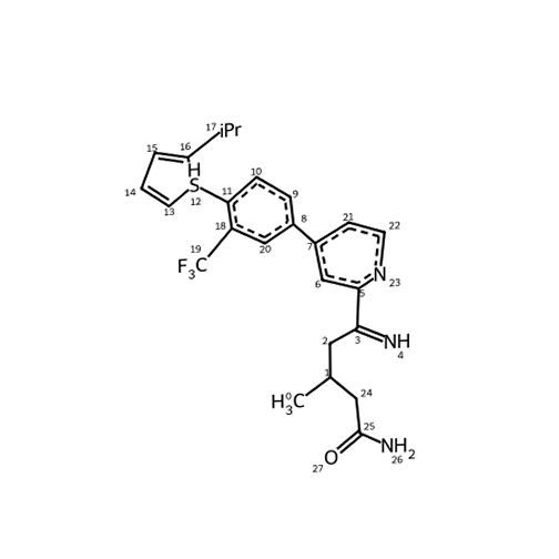 CC(CC(=N)c1cc(-c2ccc([SH]3C=CC=C3C(C)C)c(C(F)(F)F)c2)ccn1)CC(N)=O